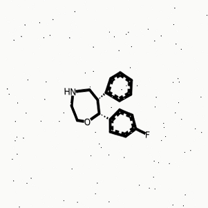 Fc1ccc([C@@H]2OCCNC[C@@H]2c2ccccc2)cc1